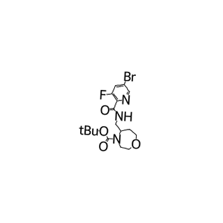 CC(C)(C)OC(=O)N1CCOCCC1CNC(=O)c1ncc(Br)cc1F